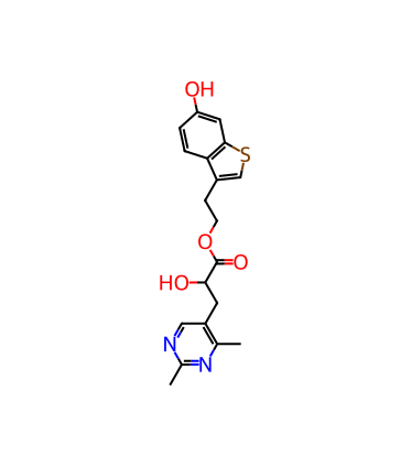 Cc1ncc(CC(O)C(=O)OCCc2csc3cc(O)ccc23)c(C)n1